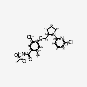 CS(=O)(=O)NC(=O)c1cc(Cl)c(OCC2CCCN2c2cccc(Cl)n2)cc1F